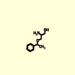 CC(OCC(N)CO)c1ccccc1